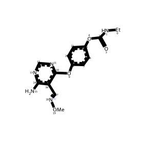 CCNC(=O)Oc1ccc(Oc2ncnc(N)c2/C=N/OC)cc1